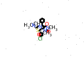 CN(C)C[C@@H]1Cn2c(-c3ccccc3)c3c(=O)n(C)c(=O)n(C)c3c2[C@H](c2ccc(Cl)o2)S1